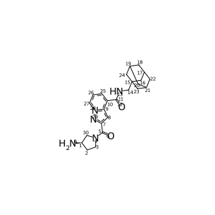 N[C@@H]1CCN(C(=O)c2cc3c(C(=O)NCC45CC6CC(CC(C6)C4)C5)cccn3n2)C1